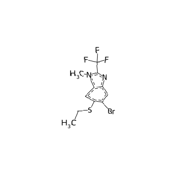 CCSc1cc2c(cc1Br)nc(C(F)(F)F)n2C